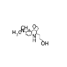 CN(C)c1ccc2c(c1)C1OCCC1C(CCCO)N2